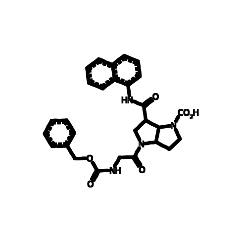 O=C(NCC(=O)N1CC(C(=O)Nc2cccc3ccccc23)C2C1CCN2C(=O)O)OCc1ccccc1